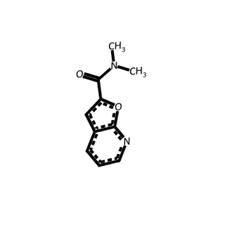 CN(C)C(=O)c1cc2cccnc2o1